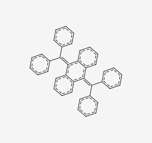 c1ccc(C(c2ccccc2)=c2c3ccccc3c(=C(c3ccccc3)c3ccccc3)c3ccccc23)cc1